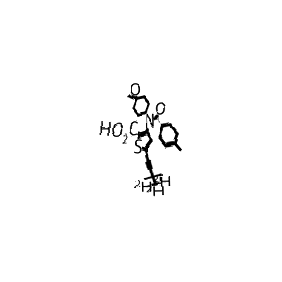 [2H]C([2H])([2H])C(C)(C)C#Cc1cc(N(C(=O)[C@H]2CC=C(C)CC2)C2CCC3(CC2)CO3)c(C(=O)O)s1